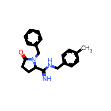 Cc1ccc(CNC(=N)C2CCC(=O)N2Cc2ccccc2)cc1